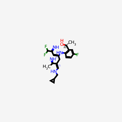 CC(=N)/C(=C\NCC1CC1)C/C(=C/C(=N)C(F)F)Nc1ccc(F)cc1[C@@H](C)O